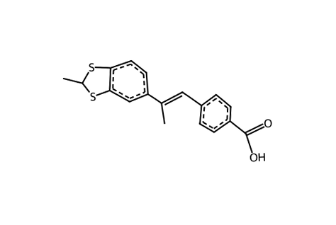 C/C(=C\c1ccc(C(=O)O)cc1)c1ccc2c(c1)SC(C)S2